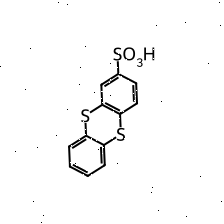 O=S(=O)(O)c1ccc2c(c1)Sc1ccccc1S2